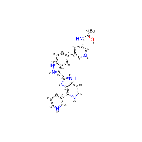 CC(C)(C)C(=O)Nc1cncc(-c2ccc3[nH]nc(-c4nc5c(-c6cccnc6)nccc5[nH]4)c3c2)c1